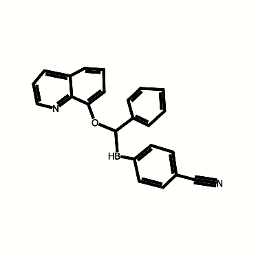 N#Cc1ccc(BC(Oc2cccc3cccnc23)c2ccccc2)cc1